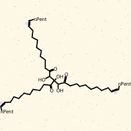 CCCCC/C=C\CCCCCCCCC(=O)C(O)C(O)(C(=O)CCCCCCCC/C=C\CCCCC)C(O)C(=O)CCCCCCCC/C=C\CCCCC